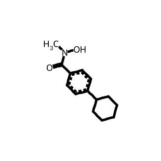 CN(O)C(=O)c1ccc(C2CCCCC2)cc1